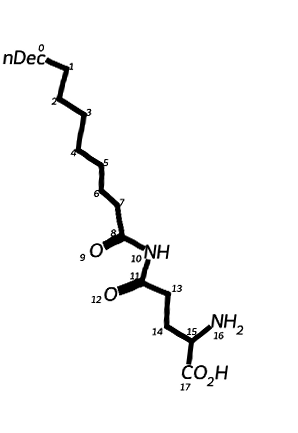 CCCCCCCCCCCCCCCCCC(=O)NC(=O)CCC(N)C(=O)O